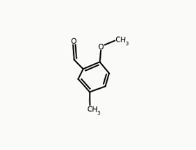 COc1ccc(C)cc1C=O